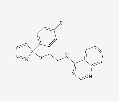 Clc1ccc(C2(OCCNc3ncnc4ccccc34)C=CN=N2)cc1